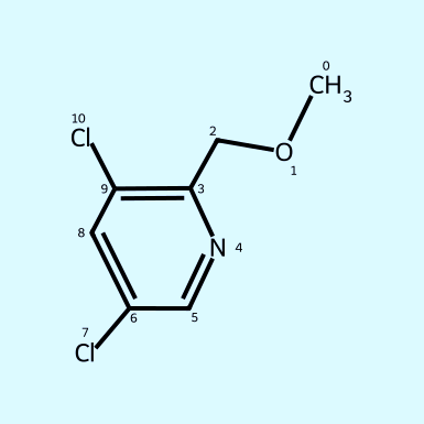 COCc1ncc(Cl)cc1Cl